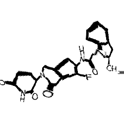 C[C@@H]1Cc2ccccc2N1C(=O)Nc1cc2c(cc1F)C(=O)N(C1CCC(=O)NC1=O)C2